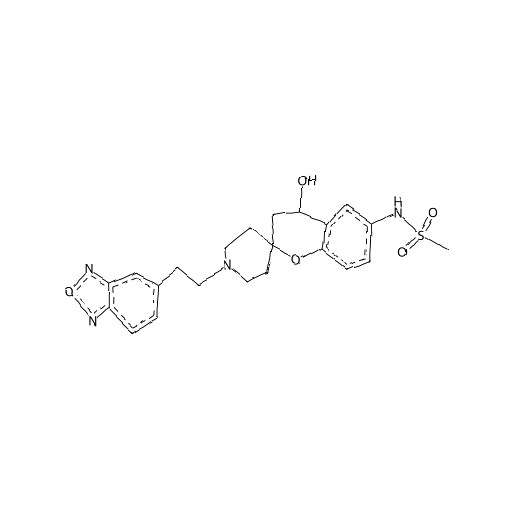 CS(=O)(=O)Nc1ccc2c(c1)C(O)CC1(CCN(CCc3ccc4nonc4c3)CC1)O2